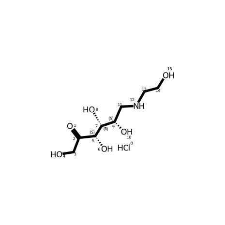 Cl.O=C(CO)[C@@H](O)[C@H](O)[C@@H](O)CNCCO